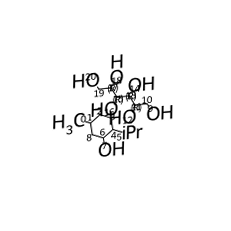 CC1CCC(C(C)C)C(O)C1.OC[C@@H](O)[C@@H](O)[C@H](O)[C@H](O)CO